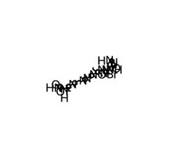 CCc1cc(Nc2ncc(Br)c(Nc3ccc4nccnc4c3P(C)(C)=O)n2)c(OC)cc1N1CCC(N2CCN(CCC3CCN(c4ccc(NC5CCC(=O)NC5=O)c(F)c4)CC3)CC2)CC1